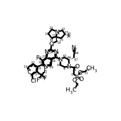 CCOP(=O)(CC(=O)N1CCN(c2nc(OC[C@@]34CCCN3C[C@H](F)C4)nc3c(F)c(-c4cccc(Cl)c4C(F)(F)F)ncc23)C[C@@H]1CC#N)OCC